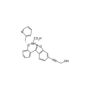 O=C(O)N[C@@H](Cc1ccccn1)c1ccccc1-c1noc2cc(C#CCO)ccc12